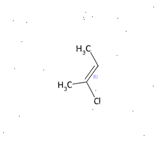 C/C=C(\C)Cl